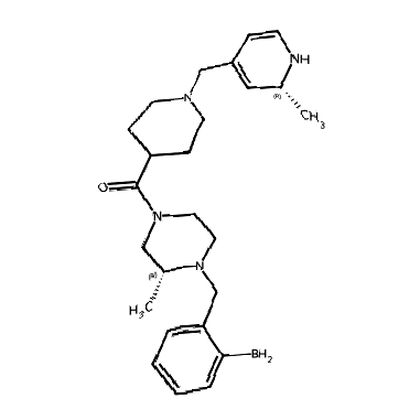 Bc1ccccc1CN1CCN(C(=O)C2CCN(CC3=C[C@@H](C)NC=C3)CC2)C[C@H]1C